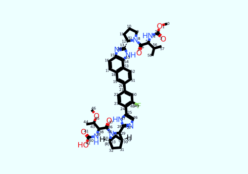 COC(=O)NC(C(=O)N1CCC[C@H]1c1nc2ccc3cc(-c4ccc(-c5cnc(C6[C@H]7CC[C@H](C7)N6C(=O)C(NC(=O)O)C(C)OC)[nH]5)c(F)c4)ccc3c2[nH]1)C(C)C